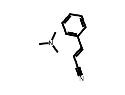 CN(C)C.N#C/C=C/c1ccccc1